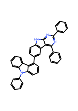 c1ccc(-c2nc(-c3ccccc3)c3c(n2)[nH]c2ccc(-c4cccc5c4c4ccccc4n5-c4ccccc4)cc23)cc1